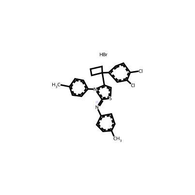 Br.Cc1ccc(/N=c2\scc(C3(c4ccc(Cl)c(Cl)c4)CCC3)n2-c2ccc(C)cc2)cc1